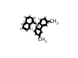 Cc1ccc2c(c1)c1cc(C)ccc1n2-c1cccc2ccccc12